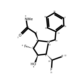 CNC(=O)C[C@@H]1[C@@H](F)[C@H](O)[C@@H](C(F)F)N1Cc1ccccc1